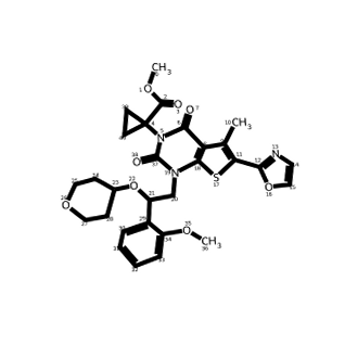 COC(=O)C1(n2c(=O)c3c(C)c(-c4ncco4)sc3n(CC(OC3CCOCC3)c3ccccc3OC)c2=O)CC1